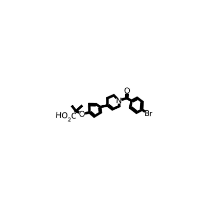 CC(C)(Oc1ccc(C2=CCN(C(=O)c3ccc(Br)cc3)CC2)cc1)C(=O)O